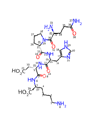 NCCCC[C@H](NC(=O)[C@H](CC(=O)O)NC(=O)[C@H](Cc1c[nH]cn1)NC(=O)[C@@H]1CCCN1C(=O)[C@@H](N)CCC(N)=O)C(=O)O